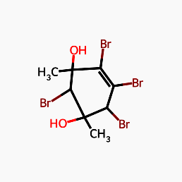 CC1(O)C(Br)=C(Br)C(Br)C(C)(O)C1Br